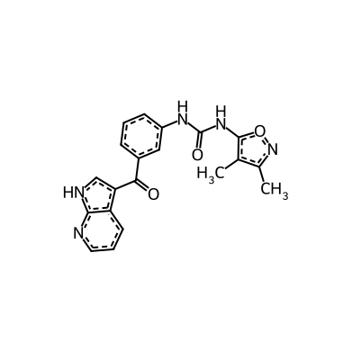 Cc1noc(NC(=O)Nc2cccc(C(=O)c3c[nH]c4ncccc34)c2)c1C